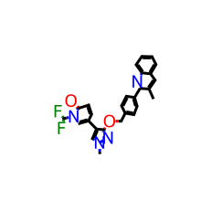 Cc1cc2ccccc2nc1-c1ccc(COc2nn(C)cc2-c2ccc(=O)n(C(F)F)c2)cc1